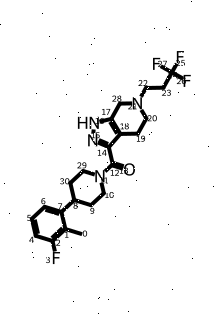 Cc1c(F)cccc1C1CCN(C(=O)c2n[nH]c3c2CCN(CCC(F)(F)F)C3)CC1